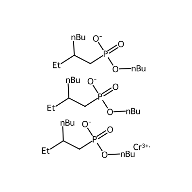 CCCCOP(=O)([O-])CC(CC)CCCC.CCCCOP(=O)([O-])CC(CC)CCCC.CCCCOP(=O)([O-])CC(CC)CCCC.[Cr+3]